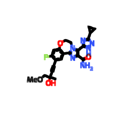 COCC(C)(O)C#Cc1cc2c(cc1F)OCCn1c-2nc(C(N)=O)c1-c1nc(C2CC2)n[nH]1